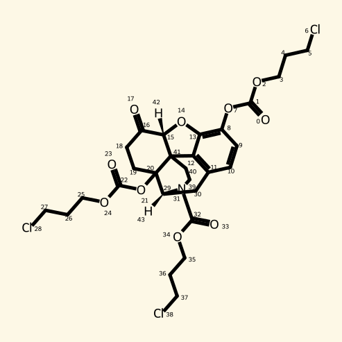 O=C(OCCCCl)Oc1ccc2c3c1O[C@H]1C(=O)CCC4(OC(=O)OCCCCl)[C@@H](C2)N(C(=O)OCCCCl)CCC314